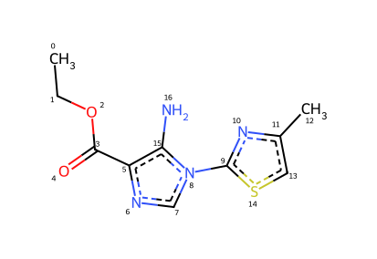 CCOC(=O)c1ncn(-c2nc(C)cs2)c1N